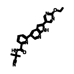 CCOc1ncc(-c2cc3cc(-c4cccc(C(=O)NC(C)(C)C#N)n4)cnc3[nH]2)cn1